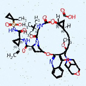 C=C[C@@H]1C[C@]1(NC(=O)[C@@H]1CC2CN1C(=O)[C@H](C(C)(C)C)NC(=O)O[C@@H]1C[C@H]1CCCCCc1c(nc3ccccc3c1OC1C3COCC1CN(CCOC)C3)O2)C(=O)NS(=O)(=O)C1(C)CC1.O=CO